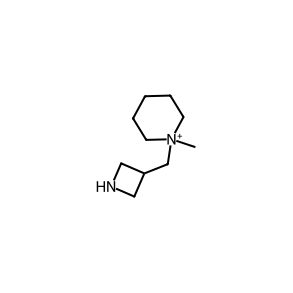 C[N+]1(CC2CNC2)CCCCC1